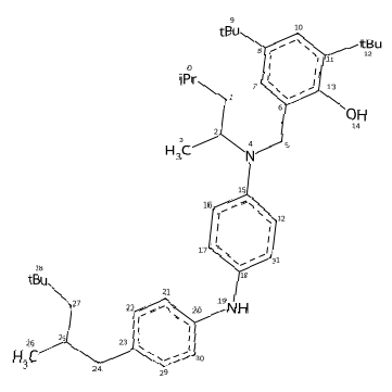 CC(C)CC(C)N(Cc1cc(C(C)(C)C)cc(C(C)(C)C)c1O)c1ccc(Nc2ccc(CC(C)CC(C)(C)C)cc2)cc1